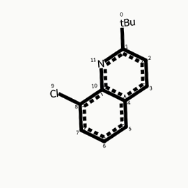 CC(C)(C)c1ccc2cccc(Cl)c2n1